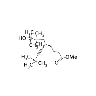 COC(=O)CCC[C@@H](C#C[Si](C)(C)C)CC(C)(C)[Si](C)(C)O